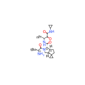 CCCC(NC(=O)[C@@H]1[C@H]2CCC3(CC3)[C@H]2CN1C(=O)[C@@H](N)C(C)(C)C)C(=O)C(=O)NC1CC1